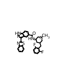 CN1CC(Cc2c(F)cccc2F)C[C@@H](NC(=O)c2ccc3[nH]nc(-c4nc5ccccc5s4)c3c2)C1